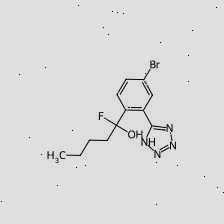 CCCCC(O)(F)c1ccc(Br)cc1-c1nnn[nH]1